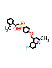 Cc1cc(COc2ccc(S(=O)(=O)CC(O)c3ccccc3C)cc2)c2cc(F)ccc2n1